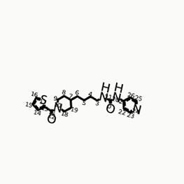 O=C(NCCCCC1CCN(C(=O)c2cccs2)CC1)Nc1ccncc1